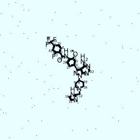 COc1cc(-c2nn(C3CCN(Cc4ncc[nH]4)CC3)c3ncnc(N)c23)ccc1NC(=O)c1ccc(C(F)(F)F)cc1F